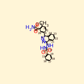 Cc1ccc(-c2nnc(NNS(=O)(=O)c3ccccc3)c3ccccc23)cc1S(N)(=O)=O